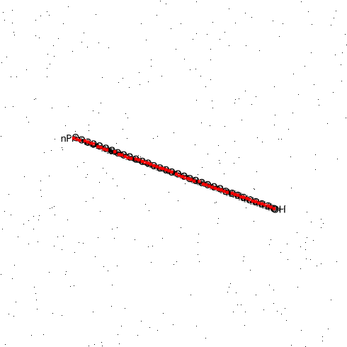 CCCOCCCOCCCOCCCOCCCOCCCOCCCOCCCOCCCOCCCOCCCOCCCOCCCOCCCOCCCOCCCOCCCOCCCOCCCOCCCOCCCOCCCOCCCOCCCOCCCOCCCOCCCOCCCOCCCOCCCOCCCOCCCOCCCOCCCOO